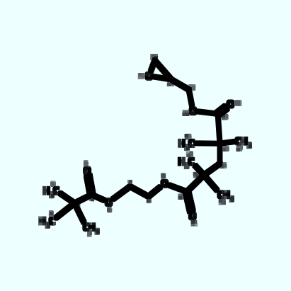 CC(C)(C)C(=O)OCCOC(=O)C(C)(C)CC(C)(C)C(=O)OCC1CO1